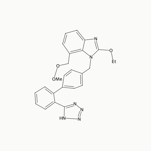 CCOc1nc2cccc(COOC)c2n1Cc1ccc(-c2ccccc2-c2nnn[nH]2)cc1